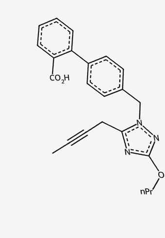 CC#CCc1nc(OCCC)nn1Cc1ccc(-c2ccccc2C(=O)O)cc1